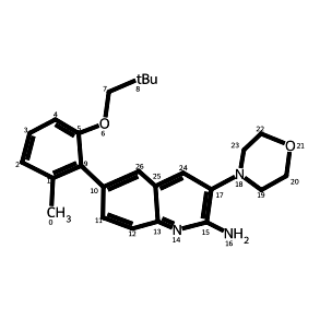 Cc1cccc(OCC(C)(C)C)c1-c1ccc2nc(N)c(N3CCOCC3)cc2c1